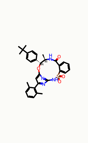 Cc1cccc(C)c1-c1cc2nc(n1)NS(=O)(=O)c1ccccc1C(=O)N[C@H](C)[C@@H](c1ccc(C(C)(C)C)cc1)O2